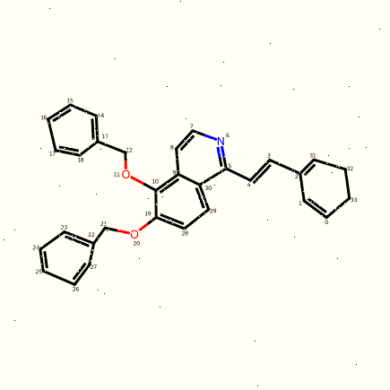 C1=CC(C=Cc2nccc3c(OCc4ccccc4)c(OCc4ccccc4)ccc23)=CCC1